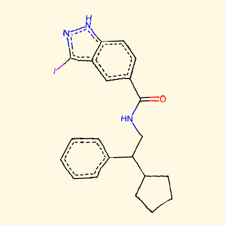 O=C(NCC(c1ccccc1)C1CCCC1)c1ccc2[nH]nc(I)c2c1